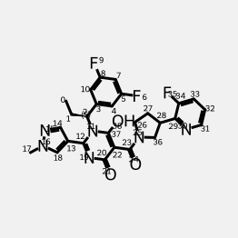 CC[C@@H](c1cc(F)cc(F)c1)n1c(-c2cnn(C)c2)nc(=O)c(C(=O)N2CCC(c3ncccc3F)C2)c1O